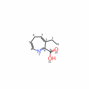 CCC1=CCC=CN=C1C(=O)O